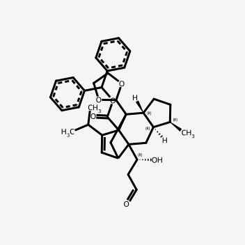 CC(C)C1=CC2CC3(C4OCCO4)[C@@H]4CC[C@@H](C)[C@H]4CC2([C@H](O)CC=O)C13C(=O)OC(c1ccccc1)c1ccccc1